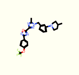 Cc1nc(-c2nc(-c3ccc(OC(F)(F)F)cc3)no2)nn1Cc1cccc(N2CCC(C)CC2)c1